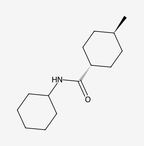 C[C@H]1CC[C@H](C(=O)NC2CCCCC2)CC1